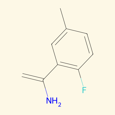 C=C(N)c1cc(C)ccc1F